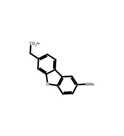 CSc1ccc2oc3cc(CC(=O)O)ccc3c2c1